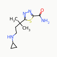 CC(C)(CCNC1CC1)c1nnc(C(N)=O)s1